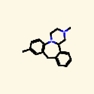 Cc1ccc2c(c1)Cc1ccccc1C1CN(C)CCN21